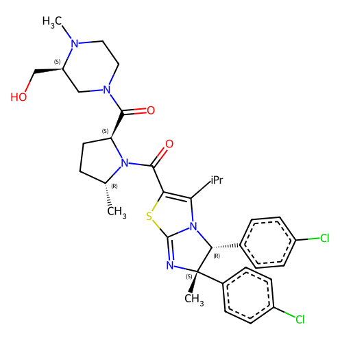 CC(C)C1=C(C(=O)N2[C@H](C)CC[C@H]2C(=O)N2CCN(C)[C@H](CO)C2)SC2=N[C@@](C)(c3ccc(Cl)cc3)[C@@H](c3ccc(Cl)cc3)N21